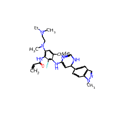 C=CC(=O)Nc1c(N(C)CCN(C)CC)cc(OC)c(NC2=CC(c3ccc4c(cnn4C)c3)NC=N2)c1F